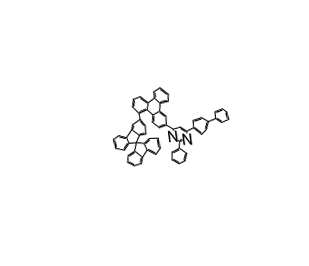 c1ccc(-c2ccc(-c3cc(-c4ccc5c(c4)c4ccccc4c4cccc(-c6ccc7c(c6)-c6ccccc6C76c7ccccc7-c7ccccc76)c45)nc(-c4ccccc4)n3)cc2)cc1